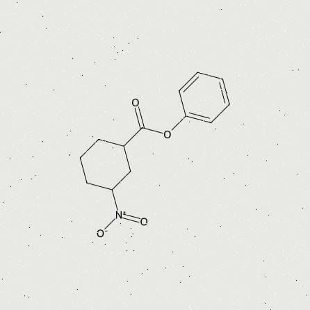 O=C(Oc1ccccc1)C1CCCC([N+](=O)[O-])C1